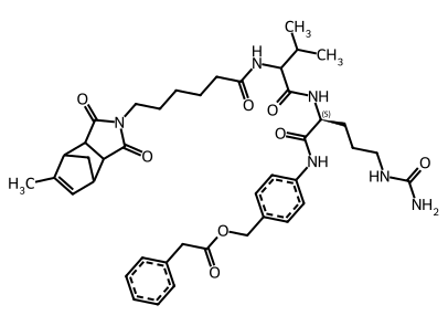 CC1=CC2CC1C1C(=O)N(CCCCCC(=O)NC(C(=O)N[C@@H](CCCNC(N)=O)C(=O)Nc3ccc(COC(=O)Cc4ccccc4)cc3)C(C)C)C(=O)C21